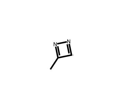 CC1=NN=[C]1